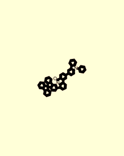 O=c1c2ccc(-c3ccc4c(c3)c3ccccc3n4-c3ccccc3)cc2c2cccc3c4ccc5c(c4n1c23)-c1ccccc1C51c2ccccc2-c2ccccc21